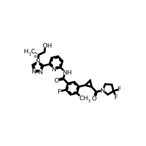 Cc1cc(F)c(C(=O)Nc2cccc(-c3nncn3[C@H](C)CO)n2)cc1C1CC1C(=O)N1CCC(F)(F)C1